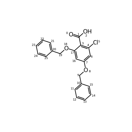 O=C(O)c1c(Cl)cc(OCc2ccccc2)cc1OCc1ccccc1